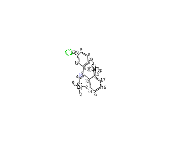 C[Si](C)(C)/C=C(/c1cccc(Cl)c1)c1ccccc1[Si](C)(C)C